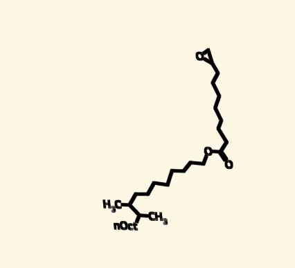 CCCCCCCCC(C)C(C)CCCCCCCCOC(=O)CCCCCCCC1CO1